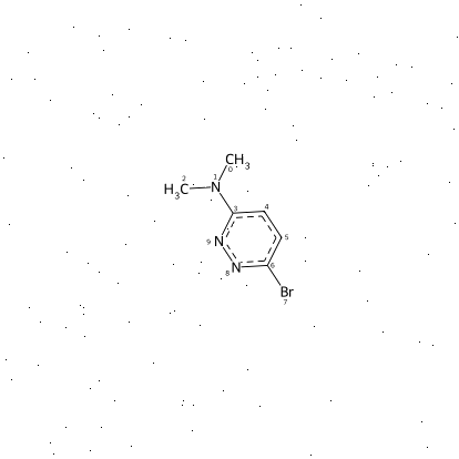 CN(C)c1ccc(Br)nn1